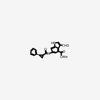 COC(=O)c1cc(NC(=O)C2C[C@H]2c2ccccc2)cc2[nH]cc(C=O)c12